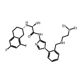 CCC[C@H](N[C@H]1CCc2cc(F)cc(F)c2C1)C(=O)Nc1cn(-c2ccccc2CNCCN(CC)CC)cn1